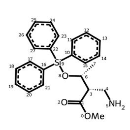 COC(=O)[C@@H](CN)[C@@H](C)O[Si](c1ccccc1)(c1ccccc1)c1ccccc1